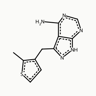 Cc1sccc1Cc1n[nH]c2ncnc(N)c12